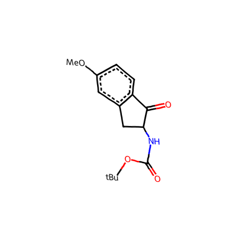 COc1ccc2c(c1)CC(NC(=O)OC(C)(C)C)C2=O